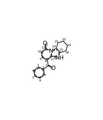 O=C(c1ccccc1)c1ccc(=O)n2c3c([nH]c12)CCCC3